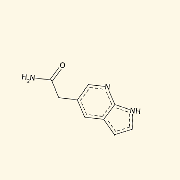 NC(=O)Cc1cnc2[nH]ccc2c1